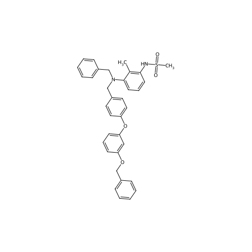 Cc1c(NS(C)(=O)=O)cccc1N(Cc1ccccc1)Cc1ccc(Oc2cccc(OCc3ccccc3)c2)cc1